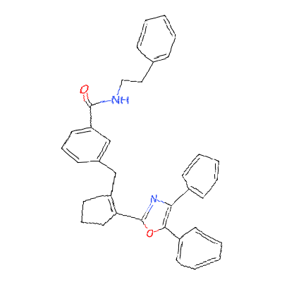 O=C(NCCc1ccccc1)c1cccc(CC2=C(c3nc(-c4ccccc4)c(-c4ccccc4)o3)CCC2)c1